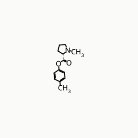 Cc1ccc(OC(=O)[C@@H]2CCCN2C)cc1